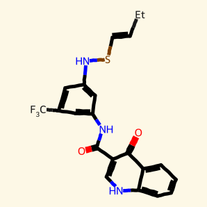 CC/C=C/SNc1cc(NC(=O)c2c[nH]c3ccccc3c2=O)cc(C(F)(F)F)c1